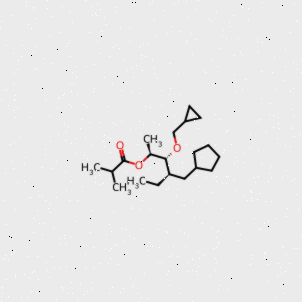 CC[C@H](CC1CCCC1)[C@@H](OCC1CC1)[C@H](C)OC(=O)C(C)C